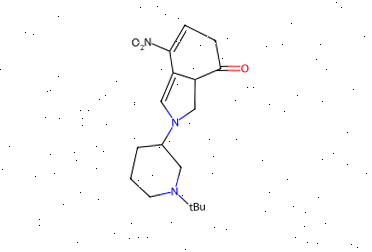 CC(C)(C)N1CCCC(N2C=C3C([N+](=O)[O-])=CCC(=O)C3C2)C1